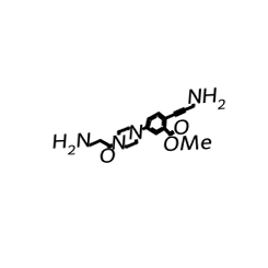 COC(=O)c1cc(N2CCN(C(=O)CCN)CC2)ccc1C#CCN